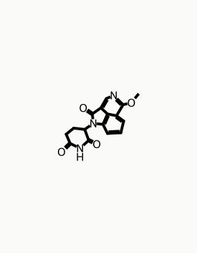 COc1ncc2c3c(cccc13)N(C1CCC(=O)NC1=O)C2=O